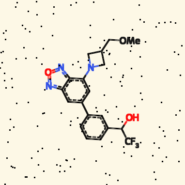 COCC1CN(c2cc(-c3cccc(C(O)C(F)(F)F)c3)cc3nonc23)C1